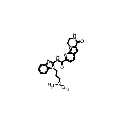 CN(C)CCCn1c(NC(=O)c2ccc3cc4n(c3n2)CCNC4=O)nc2ccccc21